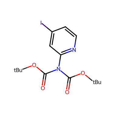 CC(C)(C)OC(=O)N(C(=O)OC(C)(C)C)c1cc(I)ccn1